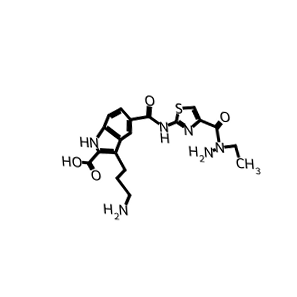 CCN(N)C(=O)c1csc(NC(=O)c2ccc3[nH]c(C(=O)O)c(CCCN)c3c2)n1